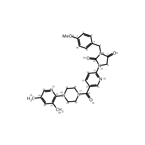 COc1ccc(CN2C(=O)CN(c3ccc(C(=O)N4CCN(c5ncc(C)cc5C)CC4)cn3)C2=O)cc1